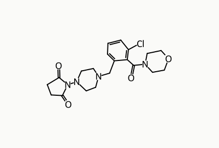 O=C(c1c(Cl)cccc1CN1CCN(N2C(=O)CCC2=O)CC1)N1CCOCC1